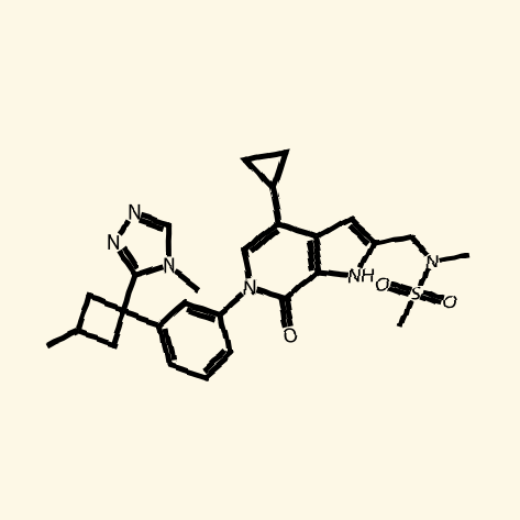 CC1CC(c2cccc(-n3cc(C4CC4)c4cc(CN(C)S(C)(=O)=O)[nH]c4c3=O)c2)(c2nncn2C)C1